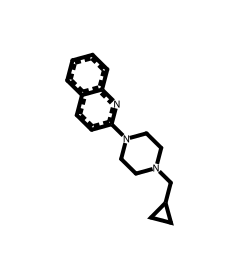 c1ccc2nc(N3CCN(CC4CC4)CC3)ccc2c1